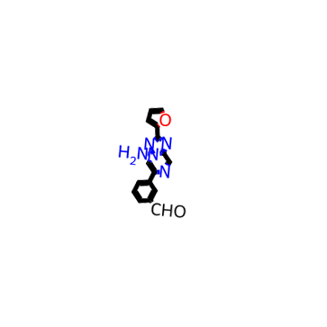 N[N+]12C=C(c3cccc(C=O)c3)N=CC1=NC(c1ccco1)=N2